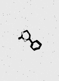 C=C1OCCC(c2ccccc2)O1